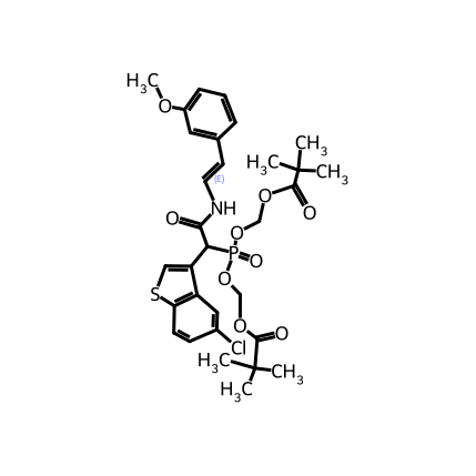 COc1cccc(/C=C/NC(=O)C(c2csc3ccc(Cl)cc23)P(=O)(OCOC(=O)C(C)(C)C)OCOC(=O)C(C)(C)C)c1